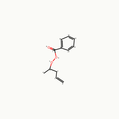 C=CCC(C)OOC(=O)c1ccccc1